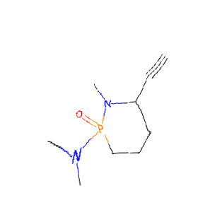 C#CC1CCCP(=O)(N(C)C)N1C